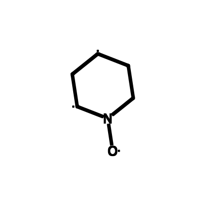 [O]N1[CH]C[CH]CC1